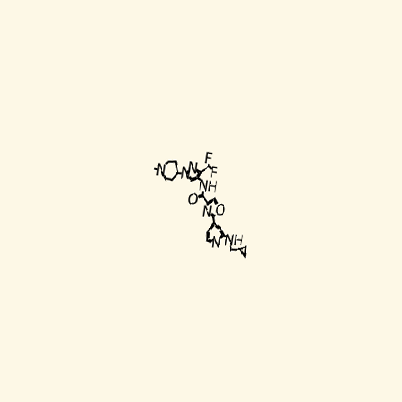 CN1CCC(n2cc(NC(=O)c3coc(-c4ccnc(NCC5CC5)c4)n3)c(C(F)F)n2)CC1